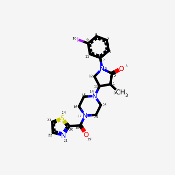 CC1C(=O)N(c2cccc(I)c2)CC1N1CCN(C(=O)c2nccs2)CC1